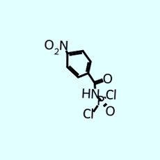 O=C(NP(=O)(Cl)Cl)c1ccc([N+](=O)[O-])cc1